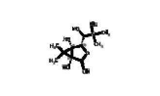 CC1(C)[C@]2(O)C(O)O[C@@H](C(O)[Si](C)(C)C(C)(C)C)[C@]12O